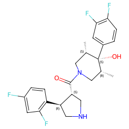 C[C@@H]1CN(C(=O)[C@@H]2CNC[C@H]2c2ccc(F)cc2F)C[C@H](C)[C@@]1(O)c1ccc(F)c(F)c1